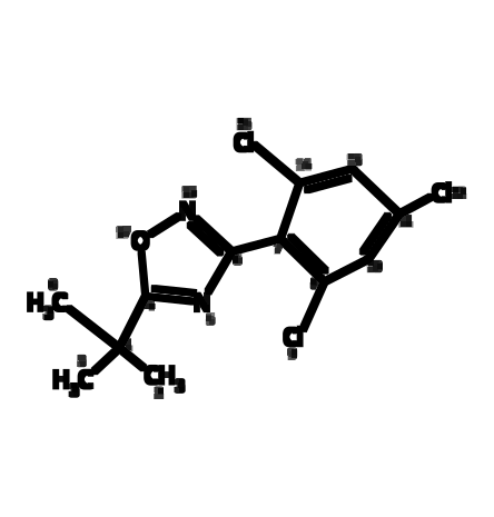 CC(C)(C)c1nc(-c2c(Cl)cc(Cl)cc2Cl)no1